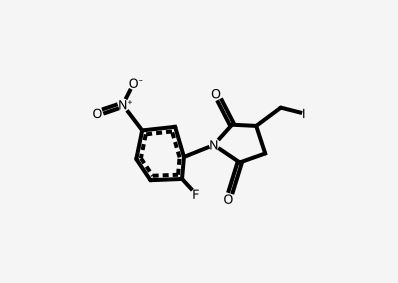 O=C1CC(CI)C(=O)N1c1cc([N+](=O)[O-])ccc1F